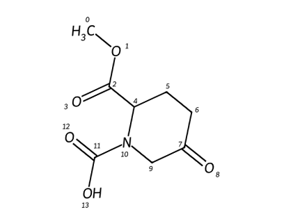 COC(=O)C1CCC(=O)CN1C(=O)O